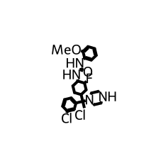 COc1ccccc1NC(=O)NC1CCC(C(C)(c2cccc(Cl)c2Cl)N2CCNCC2)CC1F